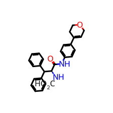 O=C(O)N[C@H](C(=O)Nc1ccc(C2=CCOCC2)cc1)C(c1ccccc1)c1ccccc1